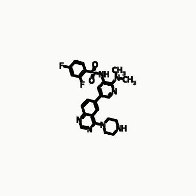 CN(C)c1ncc(-c2ccc3ncnc(N4CCNCC4)c3c2)cc1NS(=O)(=O)c1ccc(F)cc1F